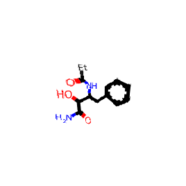 CCC(=O)NC(Cc1ccccc1)C(O)C(N)=O